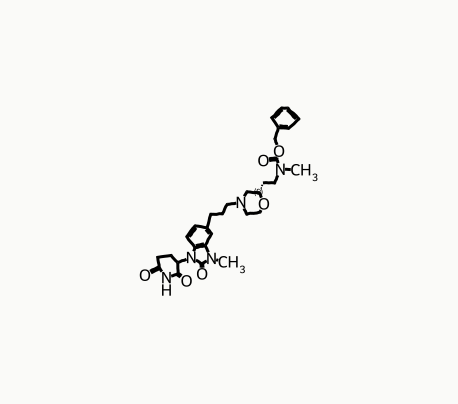 CN(CC[C@H]1CN(CCCc2ccc3c(c2)n(C)c(=O)n3C2CCC(=O)NC2=O)CCO1)C(=O)OCc1ccccc1